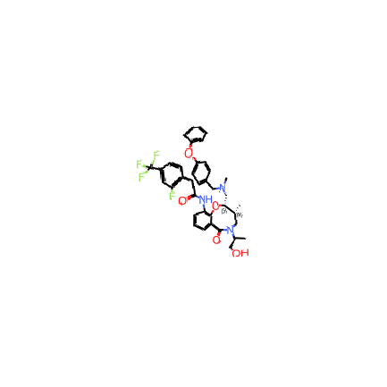 CC(CO)N1C[C@@H](C)[C@@H](CN(C)Cc2ccc(Oc3ccccc3)cc2)Oc2c(NC(=O)Cc3ccc(C(F)(F)F)cc3F)cccc2C1=O